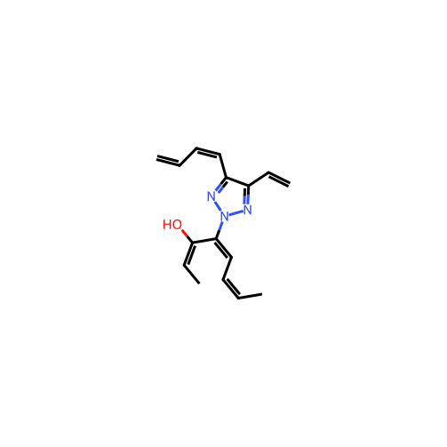 C=C/C=C\c1nn(C(=C/C=C\C)/C(O)=C\C)nc1C=C